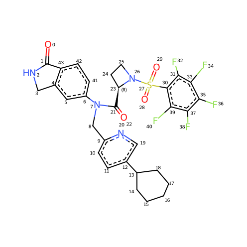 O=C1NCc2cc(N(Cc3ccc(C4CCCCC4)cn3)C(=O)[C@H]3CCN3S(=O)(=O)c3c(F)c(F)c(F)c(F)c3F)ccc21